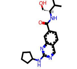 CC(C)[C@@H](CO)NC(=O)c1ccc2cnc(NC3CCCC3)nc2c1